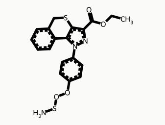 CCOC(=O)c1nn(-c2ccc(OOSN)cc2)c2c1SCc1ccccc1-2